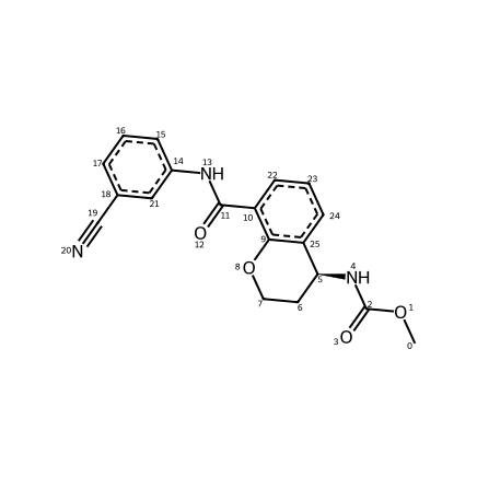 COC(=O)N[C@H]1CCOc2c(C(=O)Nc3cccc(C#N)c3)cccc21